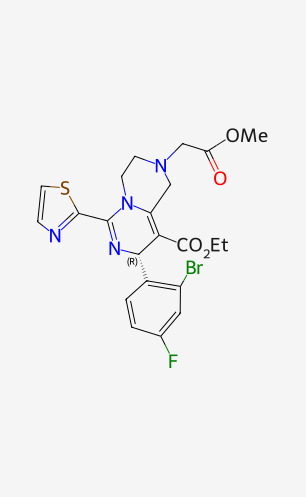 CCOC(=O)C1=C2CN(CC(=O)OC)CCN2C(c2nccs2)=N[C@H]1c1ccc(F)cc1Br